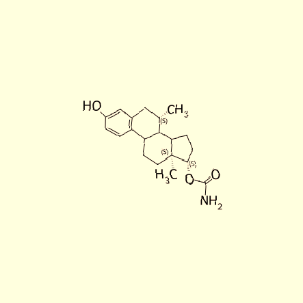 C[C@H]1Cc2cc(O)ccc2C2CC[C@@]3(C)C(CC[C@@H]3OC(N)=O)C21